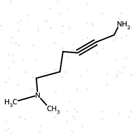 CN(C)CCCC#CCN